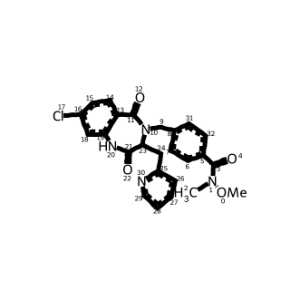 CON(C)C(=O)c1ccc(CN2C(=O)c3ccc(Cl)cc3NC(=O)C2Cc2ccccn2)cc1